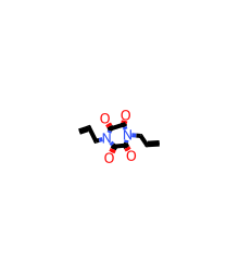 C=CCN1C(=O)C(=O)N(CC=C)C(=O)C1=O